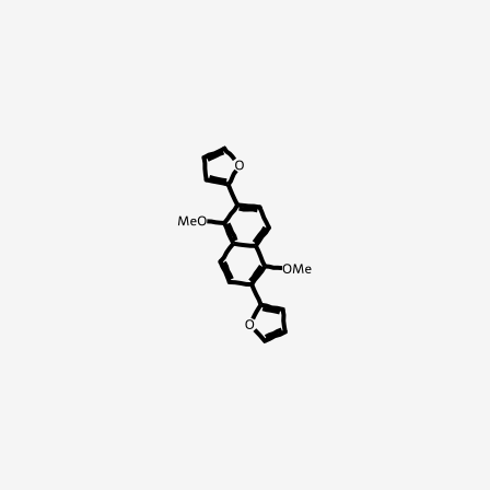 COc1c(-c2ccco2)ccc2c(OC)c(-c3ccco3)ccc12